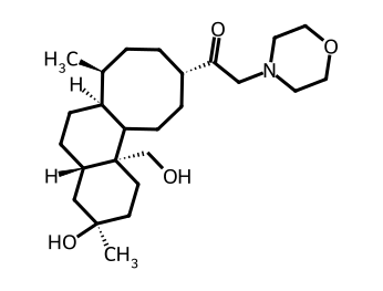 C[C@H]1CC[C@H](C(=O)CN2CCOCC2)CCC2[C@H]1CC[C@H]1C[C@](C)(O)CC[C@]21CO